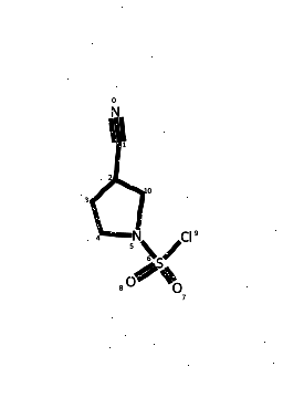 N#CC1CCN(S(=O)(=O)Cl)C1